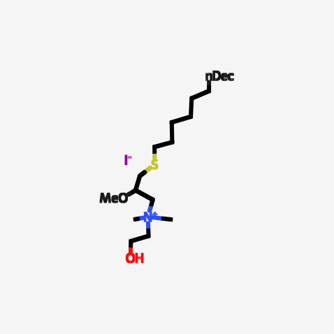 CCCCCCCCCCCCCCCCSCC(C[N+](C)(C)CCO)OC.[I-]